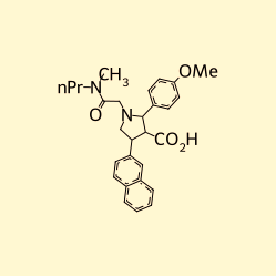 CCCN(C)C(=O)CN1CC(c2ccc3ccccc3c2)C(C(=O)O)C1c1ccc(OC)cc1